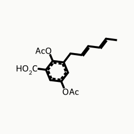 CC=CC=CCc1cc(OC(C)=O)cc(C(=O)O)c1OC(C)=O